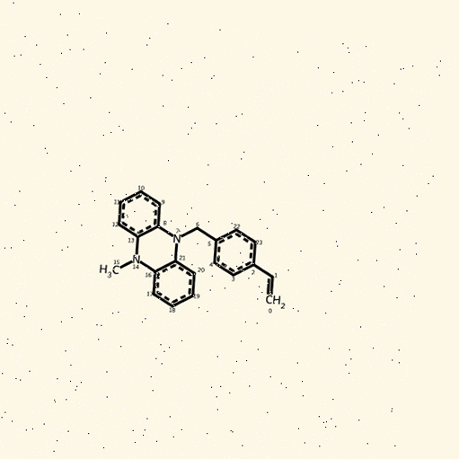 C=Cc1ccc(CN2c3ccccc3N(C)c3ccccc32)cc1